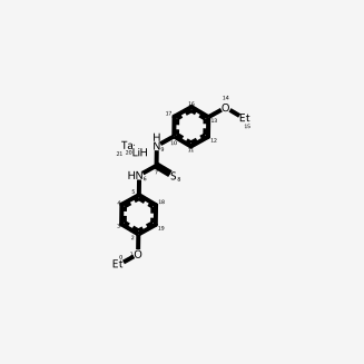 CCOc1ccc(NC(=S)Nc2ccc(OCC)cc2)cc1.[LiH].[Ta]